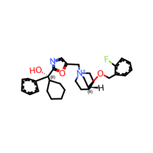 O[C@](c1ccccc1)(c1ncc(C[N+]23CCC(CC2)[C@@H](OCc2ccccc2F)C3)o1)C1CCCCC1